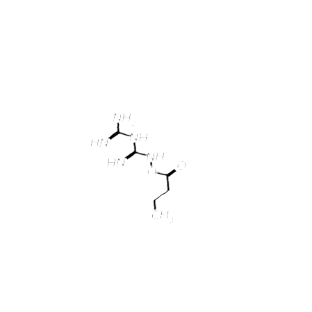 CCCC(=O)ONC(=N)NC(=N)N